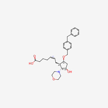 O=C(O)CCC/C=C\C[C@@H]1[C@@H](N2CCOCC2)[C@H](O)C[C@@H]1OCc1ccc(Cc2ccccc2)cc1